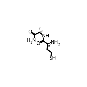 C[C@H](NC(=O)[C@@H](N)CCS)C(N)=O